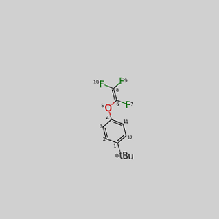 CC(C)(C)c1ccc(OC(F)=C(F)F)cc1